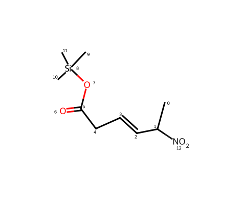 CC(C=CCC(=O)O[Si](C)(C)C)[N+](=O)[O-]